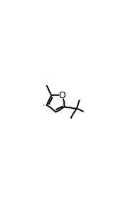 Cc1[c]cc(C(C)(C)C)o1